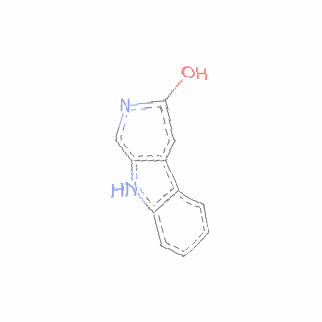 Oc1cc2c(cn1)[nH]c1ccccc12